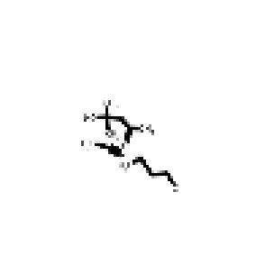 CC#N.CC(=O)CC(C)(C)O.CCCCCl